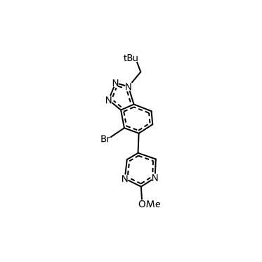 COc1ncc(-c2ccc3c(nnn3CC(C)(C)C)c2Br)cn1